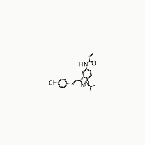 C=CC(=O)Nc1ccc2c(c1)c(C=Cc1ccc(Cl)cc1)nn2C(C)C